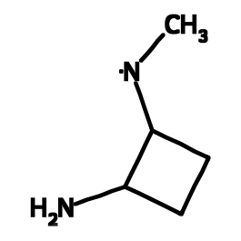 C[N]C1CCC1N